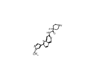 Cn1cc(-c2ccc3cnc(NC(=O)C4(F)CCNCC4)cc3n2)cn1